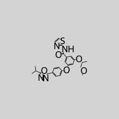 COCC(C)Oc1cc(Oc2ccc(-c3nnc(C(C)C)o3)cc2)cc(C(=O)Nc2nccs2)c1